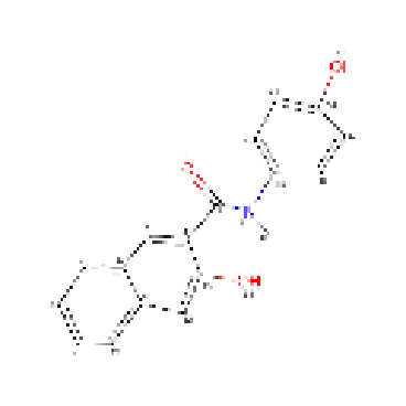 CN(C(=O)c1cc2ccccc2cc1O)c1ccc(O)cc1